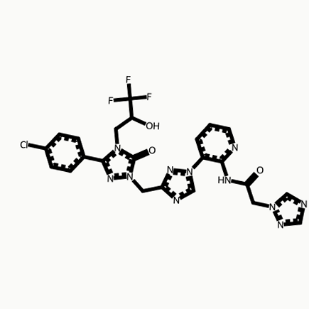 O=C(Cn1cncn1)Nc1ncccc1-n1cnc(Cn2nc(-c3ccc(Cl)cc3)n(CC(O)C(F)(F)F)c2=O)n1